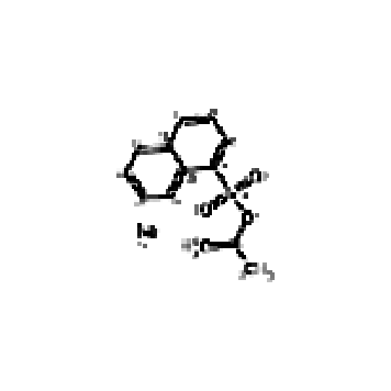 C=C(C)OS(=O)(=O)c1cccc2ccccc12.[Na]